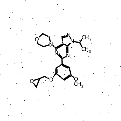 COc1cc(OCC2CO2)cc(-c2nc(N3CCOCC3)c3cnn(C(C)C)c3n2)c1